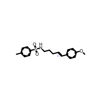 COc1ccc(/C=C/CCCNS(=O)(=O)c2ccc(C)cc2)cc1